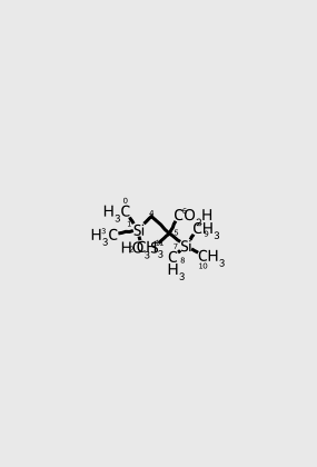 C[Si](C)(C)CC(C(=O)O)([Si](C)(C)C)S(=O)(=O)O